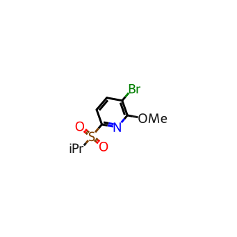 COc1nc(S(=O)(=O)C(C)C)ccc1Br